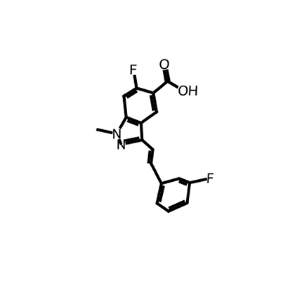 Cn1nc(/C=C/c2cccc(F)c2)c2cc(C(=O)O)c(F)cc21